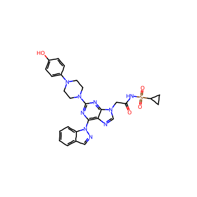 O=C(Cn1cnc2c(-n3ncc4ccccc43)nc(N3CCN(c4ccc(O)cc4)CC3)nc21)NS(=O)(=O)C1CC1